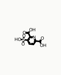 O=C(O)c1ccc(S(=O)(=O)O)c(C(=O)O)n1